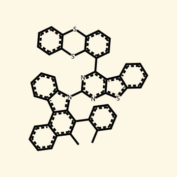 Cc1ccccc1-c1c(C)c2ccccc2c2c3ccccc3n(-c3nc(-c4cccc5c4Sc4ccccc4S5)c4c(n3)sc3ccccc34)c12